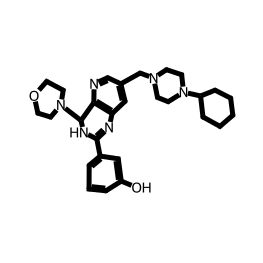 Oc1cccc(C2=Nc3cc(CN4CCN(C5CCCCC5)CC4)cnc3C(N3CCOCC3)N2)c1